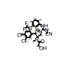 CN(C(=O)CO)N1CN(/C(=N\C#N)Nc2cccc(OC(F)F)c2)N=C1c1ccc(Cl)c(Cl)c1